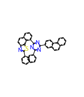 c1ccc(-c2nc(-c3ccc4c(ccc5ccccc54)c3)nc(-c3cccc4ccc5nc(-c6ccccc6)sc5c34)n2)cc1